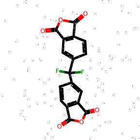 O=C1OC(=O)c2cc(C(F)(F)c3ccc4c(c3)C(=O)OC4=O)ccc21